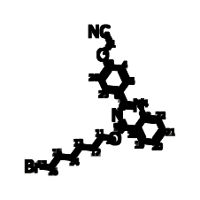 N#CCOc1ccc(-c2nc(OCCCCCCBr)c3ccccc3n2)cc1